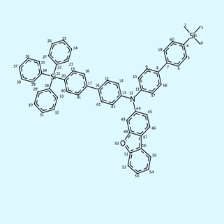 C[Si](C)(C)c1ccc(-c2ccc(N(c3ccc(-c4ccc([Si](c5ccccc5)(c5ccccc5)c5ccccc5)cc4)cc3)c3ccc4c(c3)oc3ccccc34)cc2)cc1